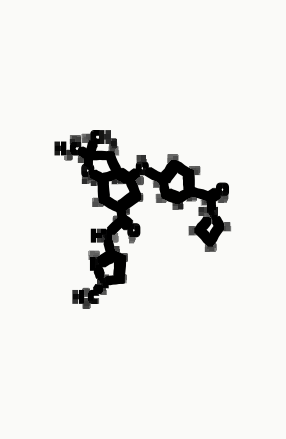 Cn1ccc(NC(=O)c2cc(Oc3ccc(C(=O)N4CCC4)cc3)c3c(c2)OC(C)(C)C3)n1